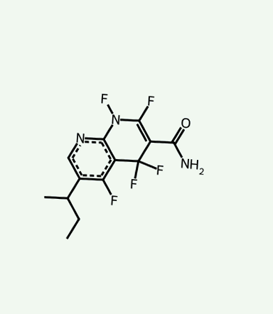 CCC(C)c1cnc2c(c1F)C(F)(F)C(C(N)=O)=C(F)N2F